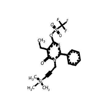 CCc1c(OS(=O)(=O)C(F)(F)F)nc(-c2ccccc2)n(CC#C[Si](C)(C)C)c1=O